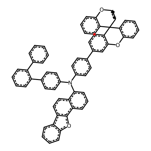 c1ccc(-c2ccccc2-c2ccc(N(c3ccc(-c4ccc5c(c4)Oc4ccccc4C54c5ccccc5Oc5ccccc54)cc3)c3cccc4c3ccc3c5ccccc5oc43)cc2)cc1